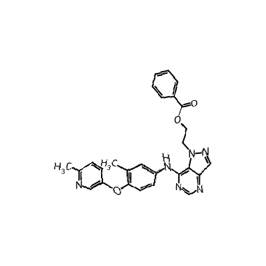 Cc1ccc(Oc2ccc(Nc3ncnc4cnn(CCOC(=O)c5ccccc5)c34)cc2C)cn1